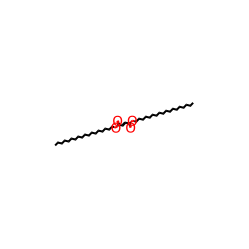 CCCCCCCCCCCCCCCCCCOC(=O)C=CC(=O)OCCCCCCCCCCCCCCCCCC